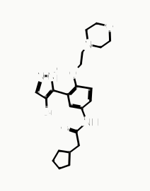 Cn1ncc(Br)c1-c1cc(NC(=O)CC2CCCC2)ccc1OCCN1CCOCC1